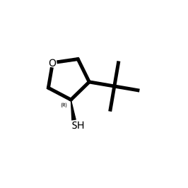 CC(C)(C)C1COC[C@@H]1S